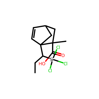 CCC(C12C=CC(CC1(C)C(=O)O)C2)[Si](Cl)(Cl)Cl